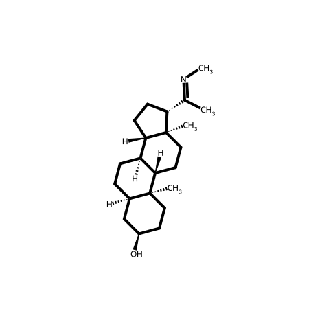 C/N=C(\C)[C@H]1CC[C@H]2[C@@H]3CC[C@@H]4C[C@H](O)CC[C@]4(C)[C@H]3CC[C@]12C